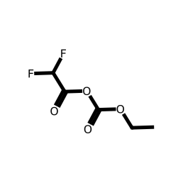 CCOC(=O)OC(=O)C(F)F